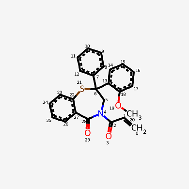 C=CC(=O)N1CC(c2ccccc2)(c2ccccc2OC)Sc2ccccc2C1=O